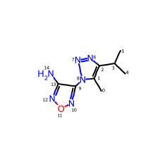 Cc1c(C(C)C)nnn1-c1nonc1N